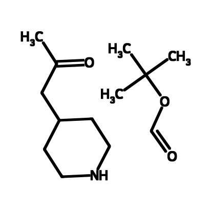 CC(=O)CC1CCNCC1.CC(C)(C)OC=O